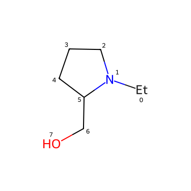 [CH2]CN1CCCC1CO